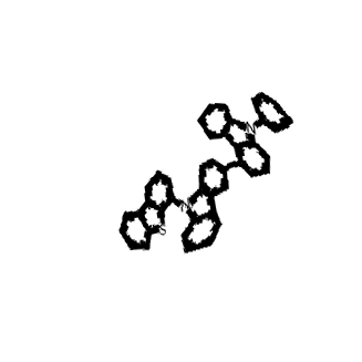 c1ccc(-n2c3ccccc3c3c(-c4ccc5c(c4)c4ccccc4n5-c4cccc5c4sc4ccccc45)cccc32)cc1